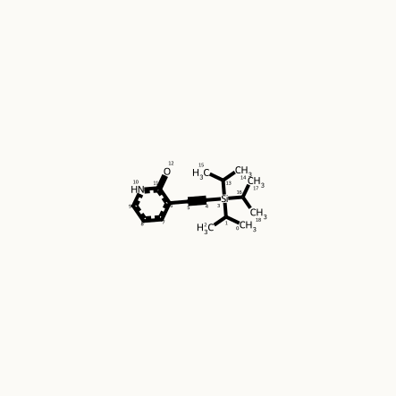 CC(C)[Si](C#Cc1ccc[nH]c1=O)(C(C)C)C(C)C